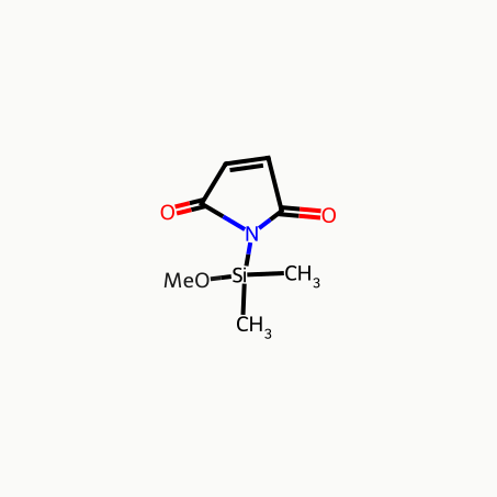 CO[Si](C)(C)N1C(=O)C=CC1=O